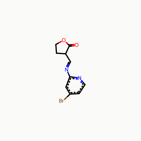 O=C1OCCC1C=Nc1cc(Br)ccn1